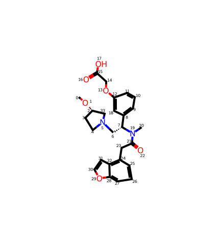 CO[C@H]1CCN(C[C@H](c2cccc(OCC(=O)O)c2)N(C)C(=O)Cc2cccc3occc23)C1